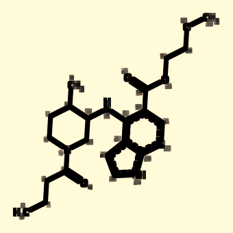 CCCC(=O)N1CCC(C)C(Nc2c(C(=O)OCCOC)cnc3[nH]ccc23)C1